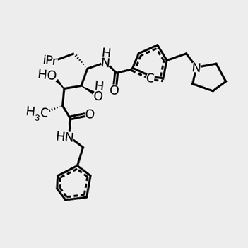 CC(C)C[C@H](NC(=O)c1ccc(CN2CCCC2)cc1)[C@@H](O)[C@H](O)[C@@H](C)C(=O)NCc1ccccc1